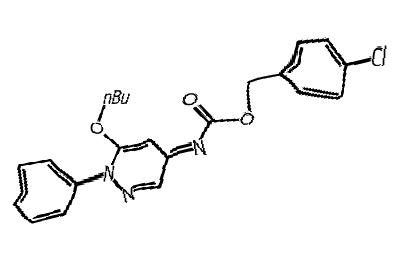 CCCCOc1c/c(=N\C(=O)OCc2ccc(Cl)cc2)cnn1-c1ccccc1